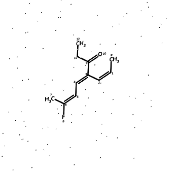 C\C=C/C(=C\C=C(/C)F)C(=O)CC